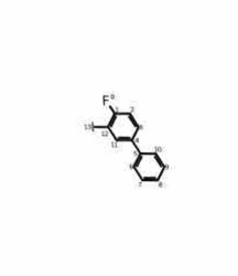 Fc1ccc(-c2ccccc2)cc1I